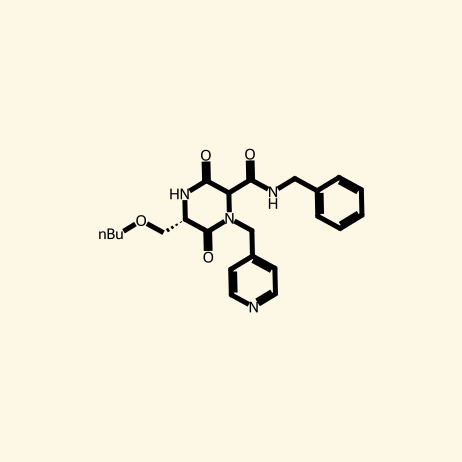 CCCCOC[C@@H]1NC(=O)C(C(=O)NCc2ccccc2)N(Cc2ccncc2)C1=O